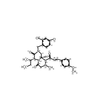 CCC(C)[C@H]1C(=O)N(Cc2ccc(Cl)cc2Cl)C[C@H]2N1C(=O)CN(C)N2C(=O)NCc1ccc(OC)cc1